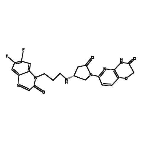 O=C1COc2ccc(N3C[C@H](NCCCn4c(=O)cnc5cc(F)c(F)cc54)CC3=O)nc2N1